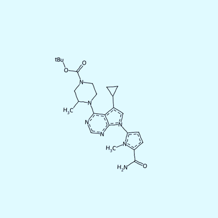 CC1CN(C(=O)OC(C)(C)C)CCN1c1ncnc2c1c(C1CC1)cn2-c1ccc(C(N)=O)n1C